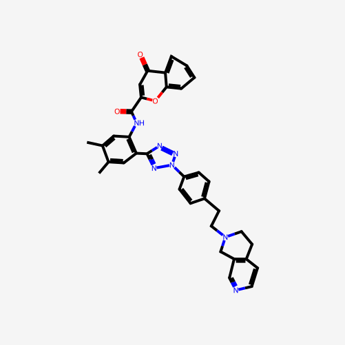 Cc1cc(NC(=O)c2cc(=O)c3ccccc3o2)c(-c2nnn(-c3ccc(CCN4CCc5ccncc5C4)cc3)n2)cc1C